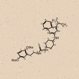 COc1ccc(OC)c(CCNC(=S)NC2CCC(Nc3nc(N(C)C)c4ccccc4n3)CC2)c1